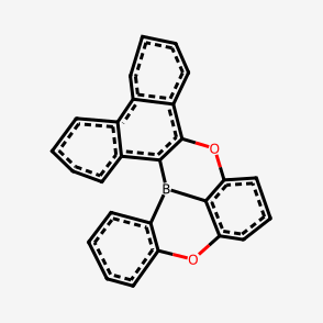 c1ccc2c(c1)Oc1cccc3c1B2c1c(c2ccccc2c2ccccc12)O3